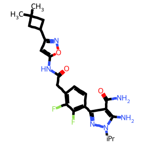 CC(C)n1nc(-c2ccc(CC(=O)Nc3cc(C4CC(C)(C)C4)no3)c(F)c2F)c(C(N)=O)c1N